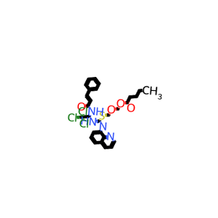 CCCCC(=O)OCOCS/C(=N/c1cccc2cccnc12)NC(NC(=O)/C=C/c1ccccc1)C(Cl)(Cl)Cl